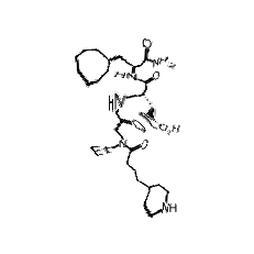 CCN(CC(=O)N[C@@H](CC(=O)O)C(=O)N[C@@H](CC1CCCCCCC1)C(N)=O)C(=O)CCCC1CCNCC1